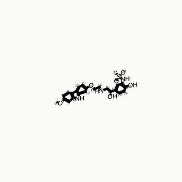 COc1ccc2c(c1)[nH]c1cc(OCCNC[C@H](O)c3ccc(O)c(NS(C)(=O)=O)c3)ccc12